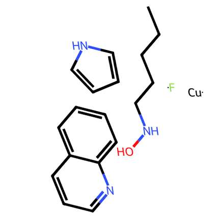 CCCCCNO.[Cu].[F].c1cc[nH]c1.c1ccc2ncccc2c1